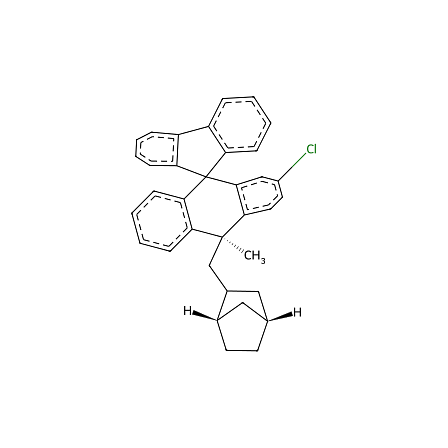 C[C@]1(CC2C[C@@H]3CC[C@H]2C3)c2ccccc2C2(c3ccccc3-c3ccccc32)c2cc(Cl)ccc21